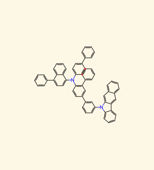 c1ccc(-c2ccc(N(c3ccc(-c4cccc(-n5c6ccccc6c6cc7ccccc7cc65)c4)cc3-c3ccccc3)c3ccc(-c4ccccc4)c4ccccc34)cc2)cc1